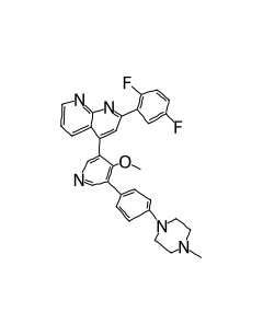 COc1c(-c2ccc(N3CCN(C)CC3)cc2)cncc1-c1cc(-c2cc(F)ccc2F)nc2ncccc12